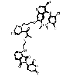 COc1cc(Nc2c(C#N)cnc3cc(OCCCN4CCNCC4C(=O)C(C)OCCNc4cccc5c4C(=O)N(C4CCC(=O)NC4=O)C5=O)c(OC)cc23)c(Cl)cc1Cl